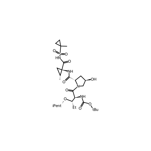 CCC[C@@H](C)O[C@@H](CC)[C@H](NC(=O)OC(C)(C)C)C(=O)N1C[C@H](O)C[C@H]1C(=O)N[C@]1(C(=O)NS(=O)(=O)C2(C)CC2)C[C@H]1C